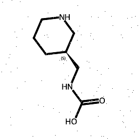 O=C(O)NC[C@H]1CCCNC1